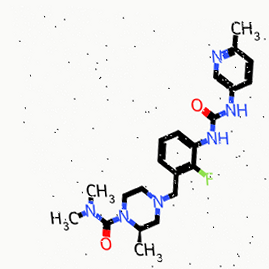 Cc1ccc(NC(=O)Nc2cccc(CN3CCN(C(=O)N(C)C)[C@H](C)C3)c2F)cn1